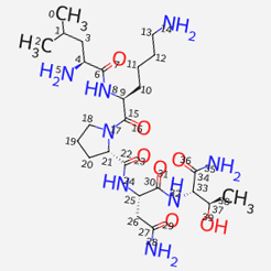 CC(C)C[C@H](N)C(=O)N[C@@H](CCCCN)C(=O)N1CCC[C@H]1C(=O)N[C@@H](CC(N)=O)C(=O)N[C@H](C(N)=O)[C@@H](C)O